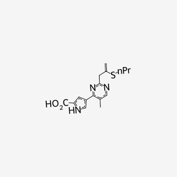 C=C(Cc1ncc(C)c(-c2c[nH]c(C(=O)O)c2)n1)SCCC